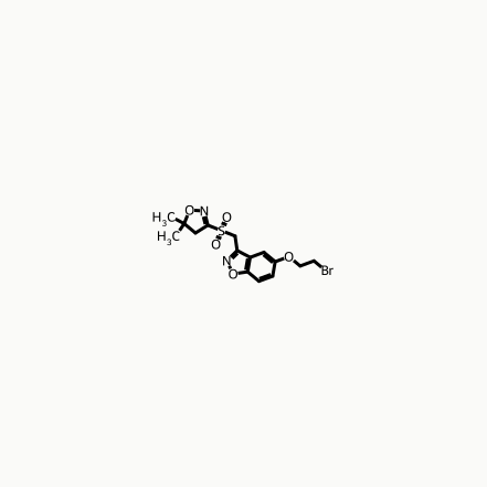 CC1(C)CC(S(=O)(=O)Cc2noc3ccc(OCCBr)cc23)=NO1